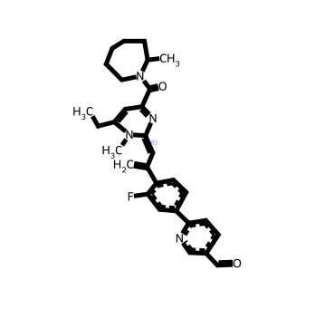 C=C(/C=C1/N=C(C(=O)N2CCCCCC2C)C=C(CC)N1C)c1ccc(-c2ccc(C=O)cn2)cc1F